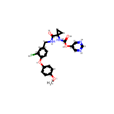 COc1ccc(Oc2ccc(CNC(=O)C3(NC(=O)Oc4cncnc4)CC3)cc2F)cc1